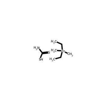 C[CH2][Zn]([CH3])([CH3])[CH2]C.NC(=S)S